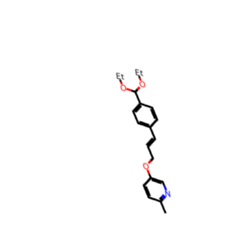 CCOC(OCC)c1ccc(C=CCOc2ccc(C)nc2)cc1